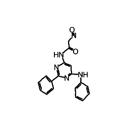 O=NCC(=O)Nc1cc(Nc2ccccc2)nc(-c2ccccc2)n1